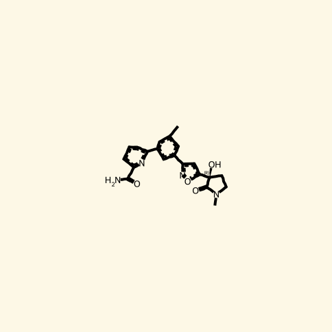 Cc1cc(-c2cc([C@]3(O)CCN(C)C3=O)on2)cc(-c2cccc(C(N)=O)n2)c1